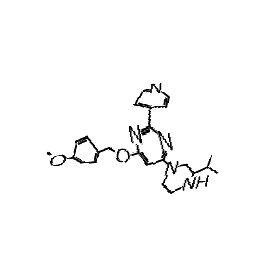 COc1ccc(COc2cc(N3CCNC(C(C)C)C3)nc(-c3ccncc3)n2)cc1